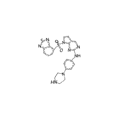 O=S(=O)(c1cccc2nsnc12)n1ccc2cnc(Nc3ccc(N4CCNCC4)cc3)nc21